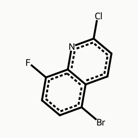 Fc1ccc(Br)c2ccc(Cl)nc12